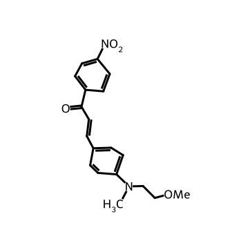 COCCN(C)c1ccc(/C=C/C(=O)c2ccc([N+](=O)[O-])cc2)cc1